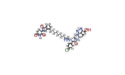 C[C@@H]1C[C@@H](O)c2ncnc(N3CCN(C(=O)C(CNCCCCCCCCCCc4cccc5c4CN(C4CCC(=O)N(C)C4=O)C5=O)c4ccc(Cl)cc4)CC3)c21